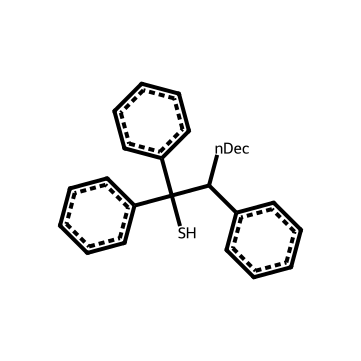 CCCCCCCCCCC(c1ccccc1)C(S)(c1ccccc1)c1ccccc1